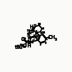 Cc1ccc(F)c([C@]23CCCC[C@H]2CSC(NC(=O)OC(C)(C)C)=N3)c1